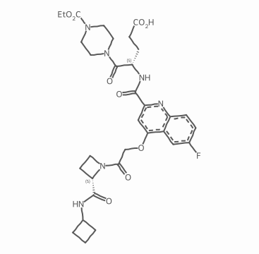 CCOC(=O)N1CCN(C(=O)[C@H](CCC(=O)O)NC(=O)c2cc(OCC(=O)N3CC[C@H]3C(=O)NC3CCC3)c3cc(F)ccc3n2)CC1